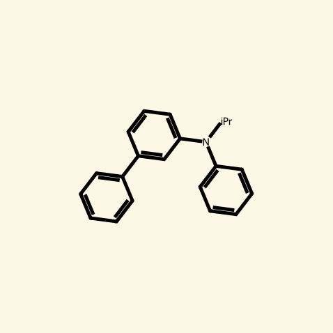 CC(C)N(c1ccccc1)c1cccc(-c2ccccc2)c1